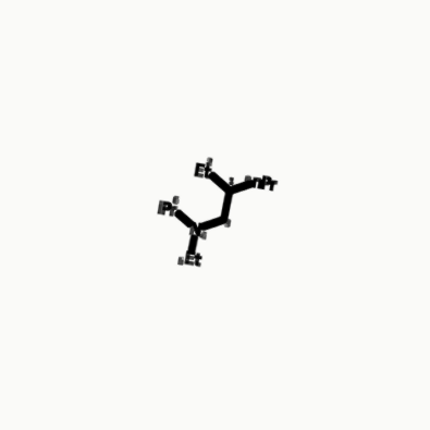 CCCC(CC)CN(CC)C(C)C